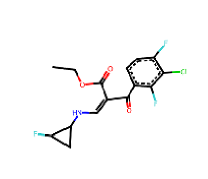 CCOC(=O)C(=CNC1CC1F)C(=O)c1ccc(F)c(Cl)c1F